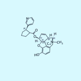 CN1CC[C@]23c4c5ccc(O)c4O[C@H]2[C@@H](OC(=O)C2CCC[C@H]2c2cccnc2)C=C[C@H]3[C@H]1C5